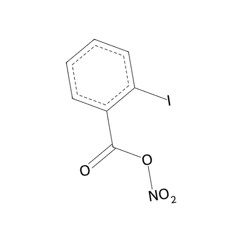 O=C(O[N+](=O)[O-])c1ccccc1I